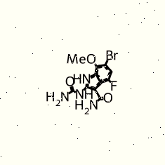 COc1c(Br)cc(F)c2c(C(N)=O)c(NC(N)=O)[nH]c12